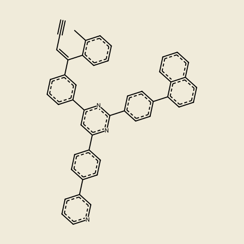 C#C/C=C(/c1cccc(-c2cc(-c3ccc(-c4cccnc4)cc3)nc(-c3ccc(-c4cccc5ccccc45)cc3)n2)c1)c1ccccc1C